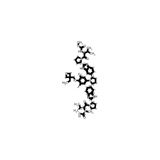 CCC1(COc2c(F)cc(N3[C@@H](c4ccc5nc([C@@H]6CCCN6C(=O)[C@@H](NC(=O)OC)C(C)C)[nH]c5c4)CC[C@@H]3c3ccc4nc([C@@H]5CCCN5C(=O)[C@H](C(C)C)N(C)C(=O)O)[nH]c4c3)cc2F)COC1